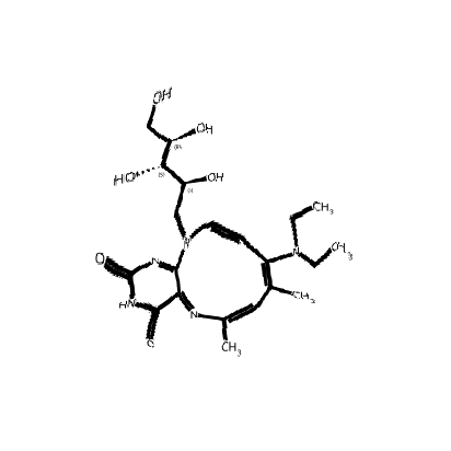 CCN(CC)c1ccn(C[C@H](O)[C@H](O)[C@H](O)CO)c2nc(=O)[nH]c(=O)c-2nc(C)cc1C